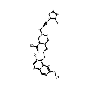 COc1ccc2ncc(Cl)c(CCCC3CCN(CC#Cc4sccc4F)CC3C(=O)O)c2c1